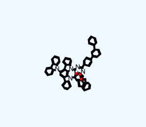 c1ccc(-c2cccc(-c3ccc(-c4nc(-c5ccccc5)nc(-n5c6ccccc6c6c(-n7c8ccccc8c8ccccc87)cc7c8ccccc8n(-c8cccc(-c9ccccc9)c8)c7c65)n4)cc3)c2)cc1